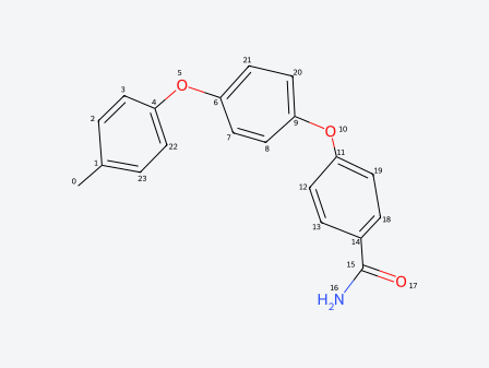 Cc1ccc(Oc2ccc(Oc3ccc(C(N)=O)cc3)cc2)cc1